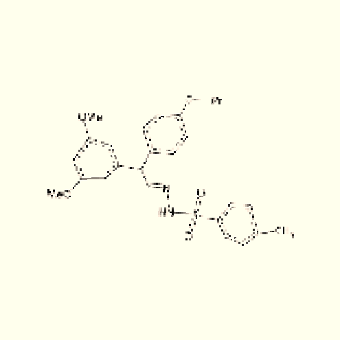 COc1cc(OC)cc(C(C=NNS(=O)(=O)c2ccc(C)cc2)c2ccc(OC(C)C)cc2)c1